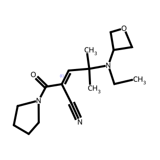 CCN(C1COC1)C(C)(C)/C=C(\C#N)C(=O)N1CCCC1